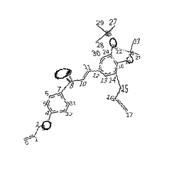 C=CCOc1ccc(C(=O)/C=C/c2cc(CC=C)c(OC(C)(C)C)c(OC(C)(C)C)c2)cc1